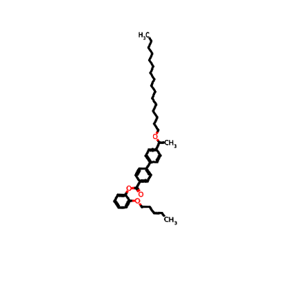 CCCCCCCCCCCCCCCCOC(C)c1ccc(-c2ccc(C(=O)Oc3ccccc3OCCCCC)cc2)cc1